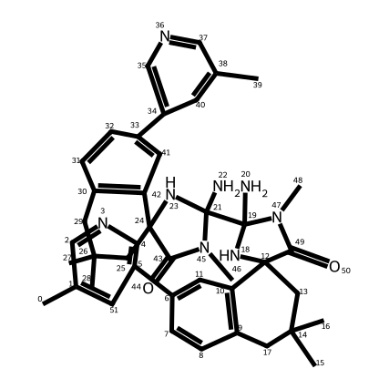 Cc1cncc(-c2ccc3c(c2)C2(CC(C)(C)C3)NC(N)(C3(N)NC4(CC(C)(C)Cc5ccc(-c6cncc(C)c6)cc54)C(=O)N3C)N(C)C2=O)c1